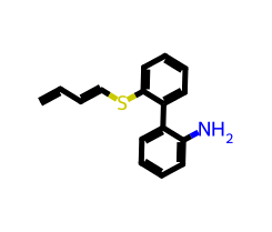 C=CC=CSc1ccccc1-c1ccccc1N